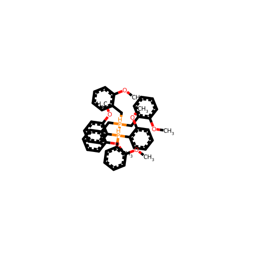 COc1ccccc1C[PH](Cc1ccccc1OC)(Cc1ccccc1OC)[PH](c1ccccc1OC)(c1ccccc1OC)c1ccccc1OC